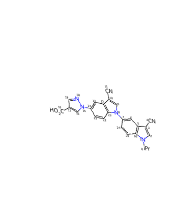 CC(C)n1cc(C#N)c2cc(-n3cc(C#N)c4cc(-n5cc(C(=O)O)cn5)ccc43)ccc21